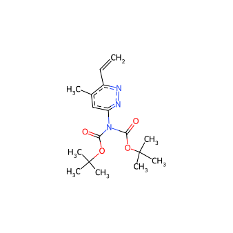 C=Cc1nnc(N(C(=O)OC(C)(C)C)C(=O)OC(C)(C)C)cc1C